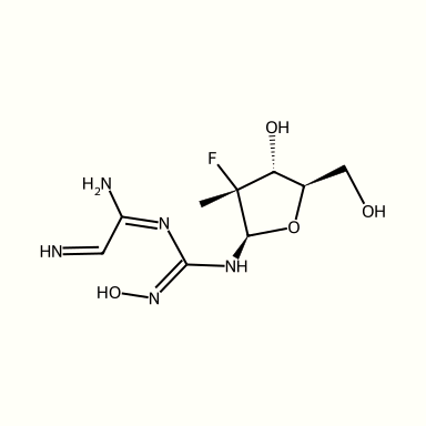 C[C@]1(F)[C@H](NC(=N/O)/N=C(/N)C=N)O[C@H](CO)[C@H]1O